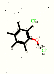 Cc1c(C)c(C)c([O][Ti+2])c(C)c1C.[Cl-].[Cl-]